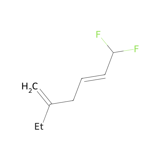 C=C(CC)C/C=C/C(F)F